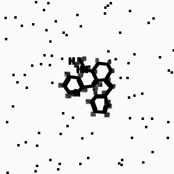 NNC1CCCC(=Cc2ccccn2)C1=Cc1ccccn1